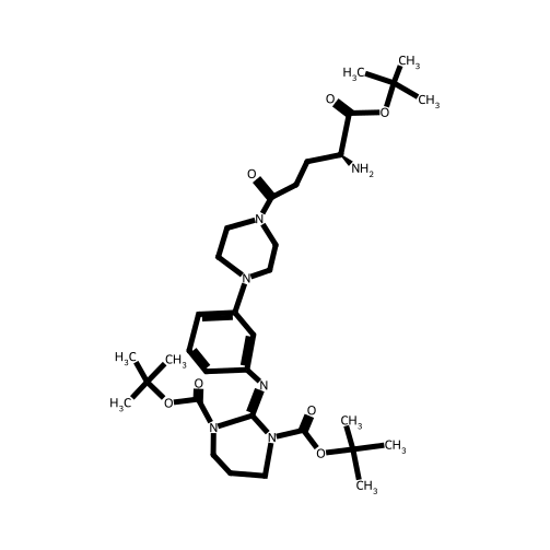 CC(C)(C)OC(=O)[C@@H](N)CCC(=O)N1CCN(c2cccc(N=C3N(C(=O)OC(C)(C)C)CCCN3C(=O)OC(C)(C)C)c2)CC1